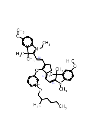 CCCCC(C)CO[n+]1cccc(OC2=C(/C=C/C3=[N+](CC)c4ccc(OC)cc4C3(C)C)CC/C2=C\C=C2\N(C)c3ccc(OC)cc3C2(C)C)c1